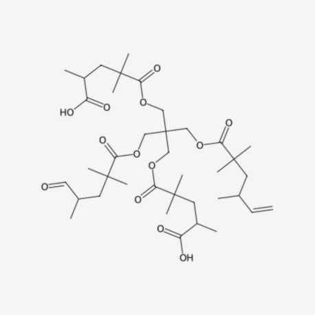 C=CC(C)CC(C)(C)C(=O)OCC(COC(=O)C(C)(C)CC(C)C=O)(COC(=O)C(C)(C)CC(C)C(=O)O)COC(=O)C(C)(C)CC(C)C(=O)O